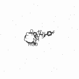 C[C@H]1/C=C\CCCCCCC(=O)N2C[C@H](CN(C)C(=O)c3nc(-c4ccc(F)cc4)cs3)C[C@H]2C(=O)N[C@@]1(I)C(=O)O